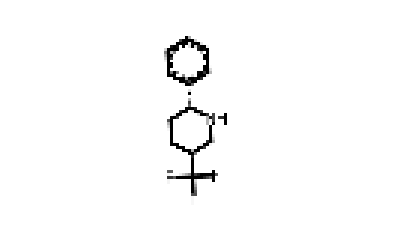 FC(F)(F)[C@H]1CC[C@H](c2ccccc2)NC1